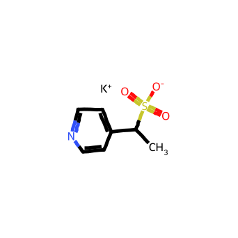 CC(c1ccncc1)S(=O)(=O)[O-].[K+]